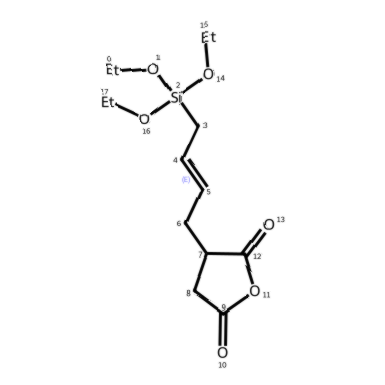 CCO[Si](C/C=C/CC1CC(=O)OC1=O)(OCC)OCC